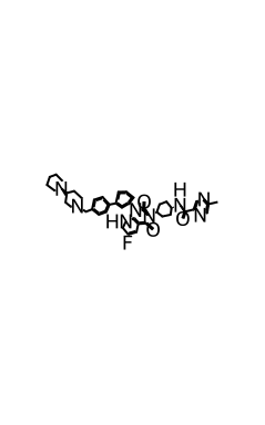 Cc1cnc(C(=O)N[C@H]2CC[C@@H](n3c(=O)c4c(n(-c5cccc(-c6ccc(CN7CCC(N8CCCCC8)CC7)cc6)c5)c3=O)NCC(F)=C4)CC2)cn1